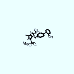 CC[S+]([O-])c1nc2c(C)sc(C(=O)OC)c2n1Cc1ccc(-c2ccccc2C#N)cc1